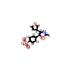 Cc1nc(-c2ccsc2)c(-c2ccc(S(C)(=O)=O)cc2)o1